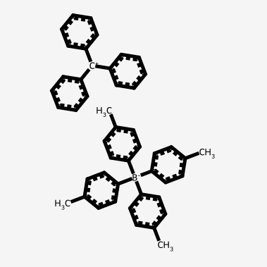 Cc1ccc([B-](c2ccc(C)cc2)(c2ccc(C)cc2)c2ccc(C)cc2)cc1.c1ccc([C+](c2ccccc2)c2ccccc2)cc1